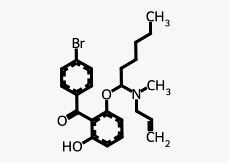 C=CCN(C)C(CCCCC)Oc1cccc(O)c1C(=O)c1ccc(Br)cc1